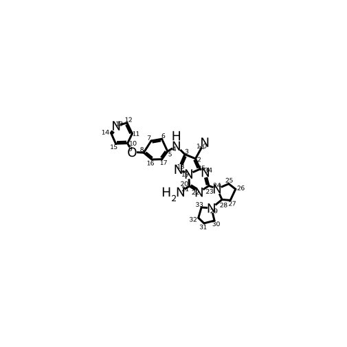 N#Cc1c(Nc2ccc(Oc3ccncc3)cc2)nn2c(N)nc(N3CCCC3N3CCCC3)nc12